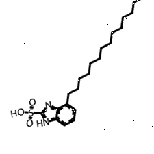 CCCCCCCCCCCCCCc1cccc2[nH]c(S(=O)(=O)O)nc12